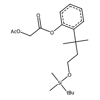 CC(=O)OCC(=O)Oc1ccccc1C(C)(C)CCO[Si](C)(C)C(C)(C)C